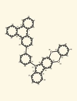 c1cc(-c2ccc3c4ccccc4c4ccccc4c3c2)cc(-n2c3ccccc3c3cc4c(cc32)Oc2ccccc2O4)c1